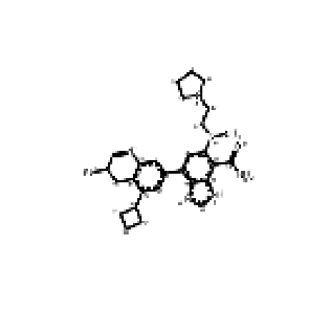 CCC1C=Nc2cc(-c3cc(N(C)CCN4CCCC4)c(C(N)=O)c4[nH]cnc34)cc(C3CCC3)c2C1